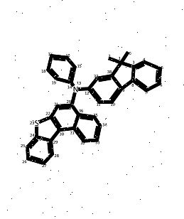 CC1(C)c2ccccc2-c2ccc(N(c3ccccc3)c3cc4sc5ccccc5c4c4ccccc34)cc21